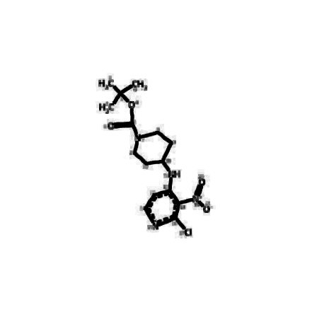 CC(C)(C)OC(=O)N1CCC(Nc2ccnc(Cl)c2[N+](=O)[O-])CC1